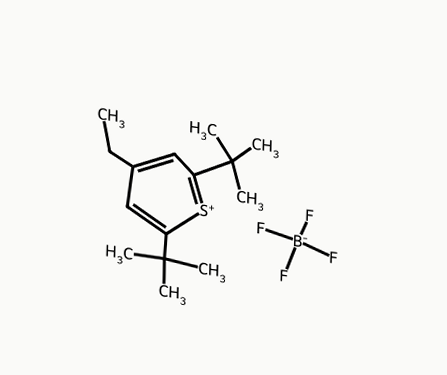 CCc1cc(C(C)(C)C)[s+]c(C(C)(C)C)c1.F[B-](F)(F)F